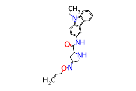 C=CCON=C1CN[C@H](C(=O)Nc2ccc3c(c2)c2ccccc2n3CC)C1